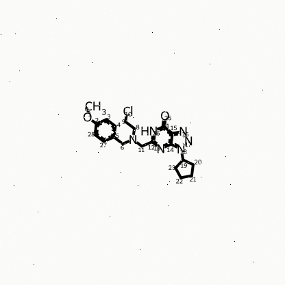 COc1ccc(CN(CCCl)Cc2nc3c(nnn3C3CCCC3)c(=O)[nH]2)cc1